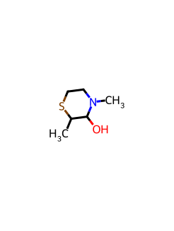 CC1SCCN(C)C1O